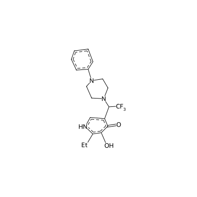 CCc1[nH]cc(C(N2CCN(c3ccccc3)CC2)C(F)(F)F)c(=O)c1O